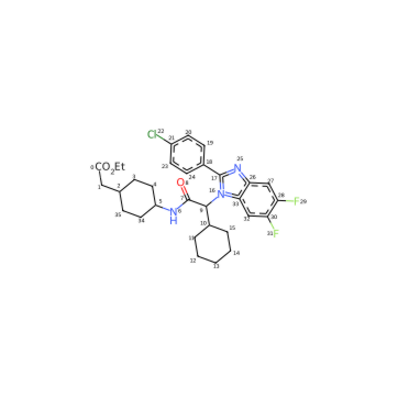 CCOC(=O)CC1CCC(NC(=O)C(C2CCCCC2)n2c(-c3ccc(Cl)cc3)nc3cc(F)c(F)cc32)CC1